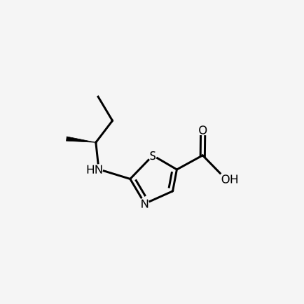 CC[C@H](C)Nc1ncc(C(=O)O)s1